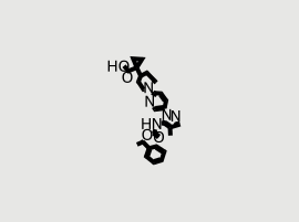 Cc1cnn(-c2ccc(N3CCC(C4(C(=O)O)CC4)CC3)nc2)c1NC(=O)OC(C)c1ccccc1